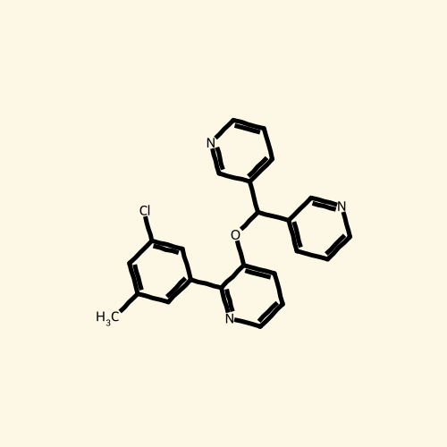 Cc1cc(Cl)cc(-c2ncccc2OC(c2cccnc2)c2cccnc2)c1